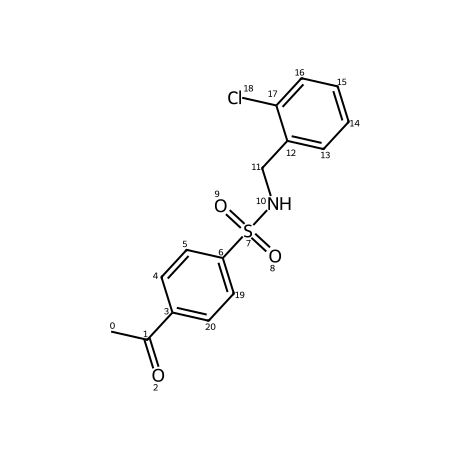 CC(=O)c1ccc(S(=O)(=O)NCc2ccccc2Cl)cc1